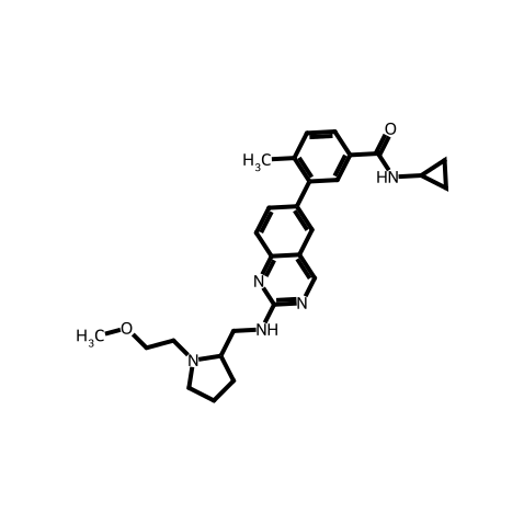 COCCN1CCCC1CNc1ncc2cc(-c3cc(C(=O)NC4CC4)ccc3C)ccc2n1